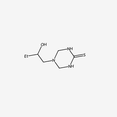 CCC(O)CN1CNC(=S)NC1